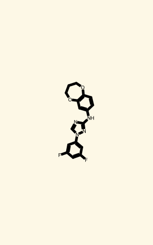 Fc1cc(F)cc(-n2cnc(Nc3ccc4c(c3)OCCCO4)n2)c1